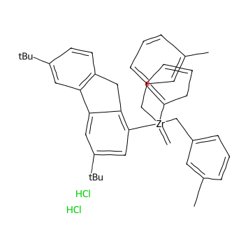 Cl.Cl.[CH2]=[Zr]([CH2]c1cccc(C)c1)([CH2]c1cccc(C)c1)([C]1=CC=CC1)[c]1cc(C(C)(C)C)cc2c1Cc1ccc(C(C)(C)C)cc1-2